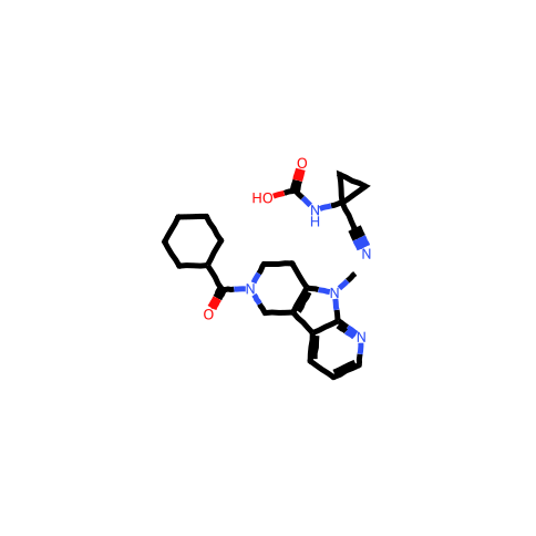 Cn1c2c(c3cccnc31)CN(C(=O)C1CCCCC1)CC2.N#CC1(NC(=O)O)CC1